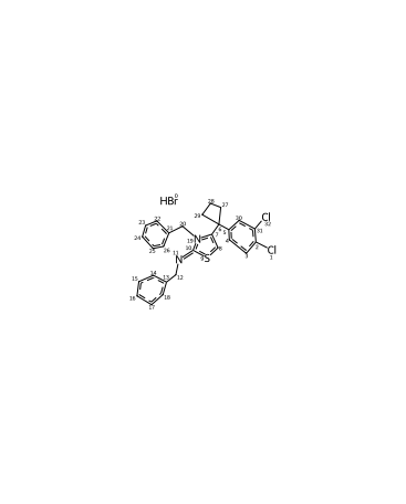 Br.Clc1ccc(C2(c3cs/c(=N\Cc4ccccc4)n3Cc3ccccc3)CCC2)cc1Cl